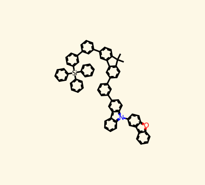 CC1(C)c2ccc(-c3cccc(-c4cccc([Si](c5ccccc5)(c5ccccc5)c5ccccc5)c4)c3)cc2-c2cc(-c3cccc(-c4ccc5c(c4)c4ccccc4n5-c4ccc5oc6ccccc6c5c4)c3)ccc21